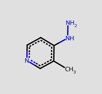 Cc1cnccc1NN